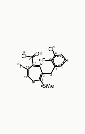 CSC1=C(Cc2cccc(Cl)c2F)C=C(C(=O)Cl)C(F)=CC1